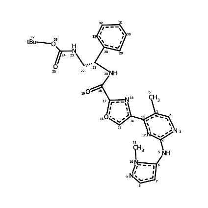 Cc1cnc(Nc2ccnn2C)nc1-c1coc(C(=O)N[C@H](CNC(=O)OC(C)(C)C)c2ccccc2)n1